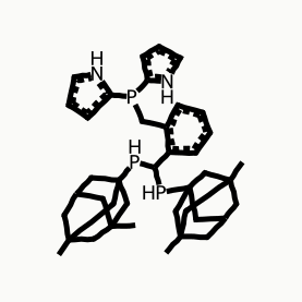 CC12CC3CC(C)(C1)CC(PC(PC14CC5CC(C)(CC(C)(C5)C1)C4)c1ccccc1CP(c1ccc[nH]1)c1ccc[nH]1)(C3)C2